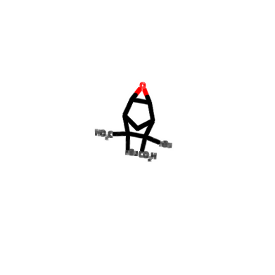 CCCCC1(C(=O)O)C2CC(C3OC32)C1(CCCC)C(=O)O